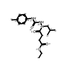 CCOC(=O)CCC(=O)N(CC(C)C)NC(=O)Nc1ccc(C)cc1